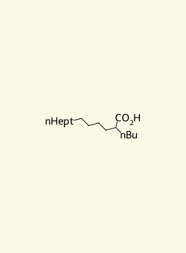 CCCCCCCCCCCC(CCCC)C(=O)O